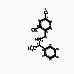 C[C@@H](NCc1ccc(Cl)cc1Cl)c1ccccc1